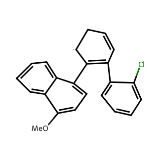 COc1ccc(C2=C(c3ccccc3Cl)C=CC[CH]2)c2ccccc12